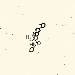 CCC(Cc1cc2cc(-c3ccccc3C)ccc2nc1N)C(=O)NCC1CCCCC1